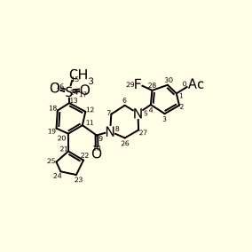 CC(=O)c1ccc(N2CCN(C(=O)c3cc(S(C)(=O)=O)ccc3C3=CCCC3)CC2)c(F)c1